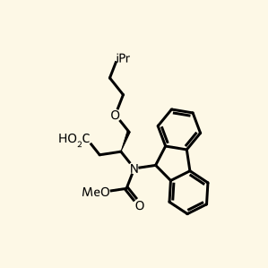 COC(=O)N(C1c2ccccc2-c2ccccc21)[C@H](COCCC(C)C)CC(=O)O